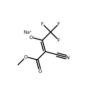 COC(=O)C(C#N)=C([O-])C(F)(F)F.[Na+]